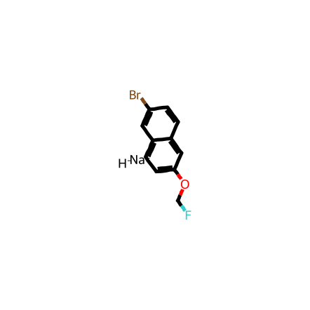 FCOc1ccc2cc(Br)ccc2c1.[H-].[Na+]